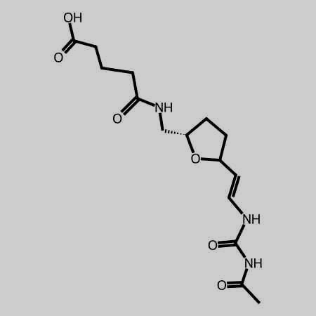 CC(=O)NC(=O)N/C=C/C1CC[C@@H](CNC(=O)CCCC(=O)O)O1